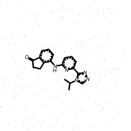 CC(C)n1cnnc1-c1cccc(Nc2cccc3c2CCC3=O)n1